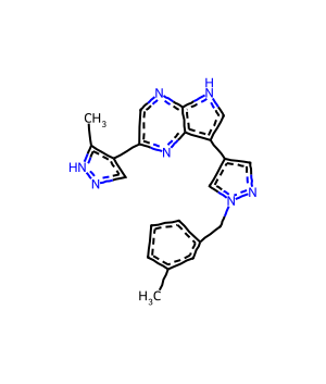 Cc1cccc(Cn2cc(-c3c[nH]c4ncc(-c5cn[nH]c5C)nc34)cn2)c1